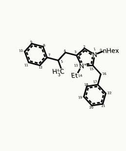 CCCCCCn1cc(CC(C)c2ccccc2)[n+](CC)c1Cc1ccccc1